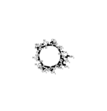 C/C=C/C[C@@H](C)[C@@H](OC(=O)CN)[C@H]1C(=O)N[C@@H](CC)C(=O)N(C)CC(=O)N(C)[C@@H](CC(C)C)C(=O)N[C@@H](C(C)C)C(=O)N(C)[C@@H](CC(C)C)C(=O)N[C@@H](C)C(=O)N[C@H](C)C(=O)N(C)[C@@H](CC(C)C)C(=O)N(C)[C@@H](CC(C)C)C(=O)N(C)[C@@H](C(C)C)C(=O)N1C